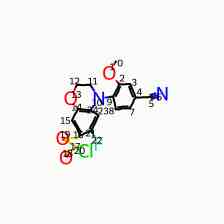 COc1cc(C#N)ccc1N1CCOc2cc(S(=O)(=O)Cl)c(F)cc21